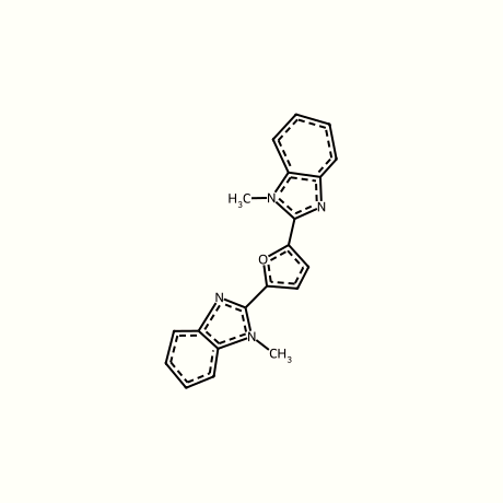 Cn1c(-c2ccc(-c3nc4ccccc4n3C)o2)nc2ccccc21